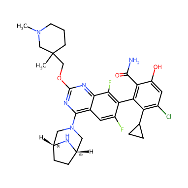 CN1CCCC(C)(COc2nc(N3C[C@H]4CC[C@@H](C3)N4)c3cc(F)c(-c4c(C(N)=O)c(O)cc(Cl)c4C4CC4)c(F)c3n2)C1